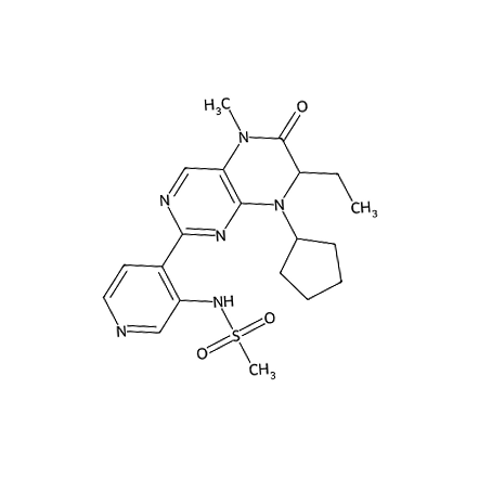 CCC1C(=O)N(C)c2cnc(-c3ccncc3NS(C)(=O)=O)nc2N1C1CCCC1